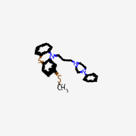 CSc1ccc2c(c1)N(CCCN1CCN(c3ccccc3)CC1)c1ccccc1S2